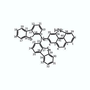 c1cc2ccc3cc(N(c4cccc5c4sc4ccccc45)c4cccc5c4sc4ccccc45)cc4[nH]c(c1)c2c34